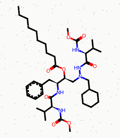 CCCCCCCCCC(=O)O[C@@H](CN(CC1CCCCC1)NC(=O)[C@@H](NC(=O)OC)C(C)C)[C@H](Cc1ccccc1)NC(=O)[C@@H](NC(=O)OC)C(C)C